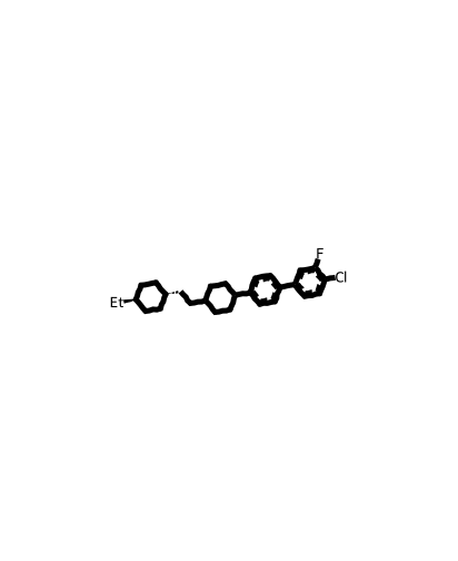 CC[C@H]1CC[C@H](CCC2CCC(c3ccc(-c4ccc(Cl)c(F)c4)cc3)CC2)CC1